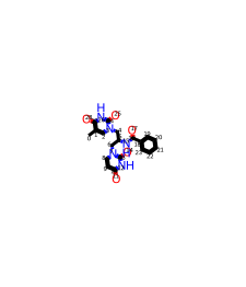 Cc1cn(CC(Cn2ccc(=O)[nH]c2=O)NC(=O)c2ccccc2)c(=O)[nH]c1=O